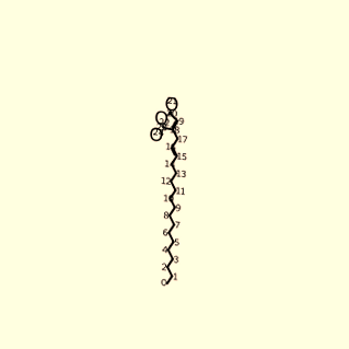 CCCCCCCCCCCCCCCC=CCC1=CC(=O)OC1=O